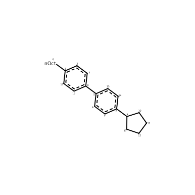 CCCCCCCCc1ccc(-c2ccc(C3CCCC3)cc2)cc1